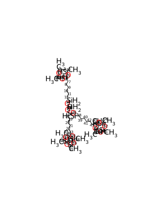 CC1C[SiH](C)O[SiH](CCCCCC[SiH2]O[SiH2]O[SiH](CCCCCC[Si]2(C)O[SiH](C)O[SiH](C)O[SiH](C)O2)O[SiH2]CCCCCC[Si]2(C)O[SiH](C)O[SiH](C)O[SiH](C)O2)O[SiH](C)O1